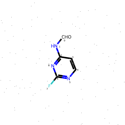 O=CNc1c[c]nc(F)n1